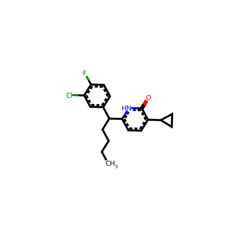 CCCCC(c1ccc(F)c(Cl)c1)c1ccc(C2CC2)c(=O)[nH]1